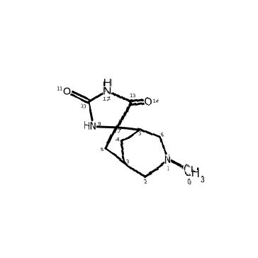 CN1CC2CC(C1)C1(C2)NC(=O)NC1=O